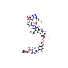 Cn1cnnc1CC1(c2cccc(-n3cc4c(C(F)(F)F)cc(CN5CCC(OCCOCc6ccc(CN7CCN(C(=O)OC(C)(C)C)CC7)cc6)CC5)cn4c3=O)c2)COC1